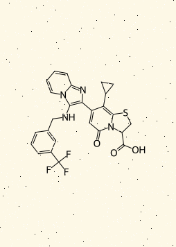 O=C(O)C1CSc2c(C3CC3)c(-c3nc4ccccn4c3NCc3cccc(C(F)(F)F)c3)cc(=O)n21